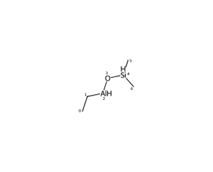 C[CH2][AlH][O][SiH](C)C